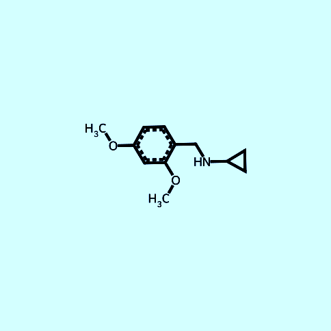 COc1ccc(CNC2CC2)c(OC)c1